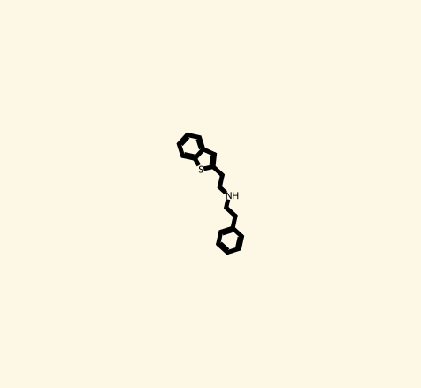 c1ccc(CCNCCc2cc3ccccc3s2)cc1